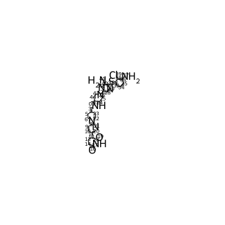 CC1(NCC2CCN(c3ccc(C4CCC(=O)NC4=O)cn3)CC2)CCN(c2cnc(Sc3cccc(N)c3Cl)c(N)n2)CC1